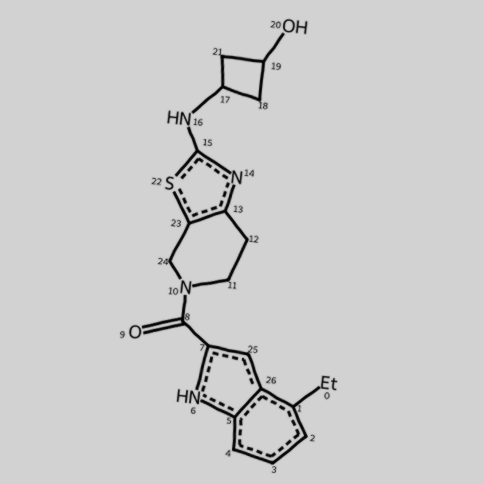 CCc1cccc2[nH]c(C(=O)N3CCc4nc(NC5CC(O)C5)sc4C3)cc12